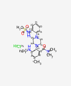 CCCNc1cc(C)cc(C(=O)N(C)C)c1N1CCN(c2ccccc2NS(C)(=O)=O)CC1.Cl